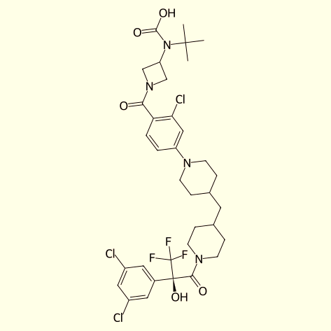 CC(C)(C)N(C(=O)O)C1CN(C(=O)c2ccc(N3CCC(CC4CCN(C(=O)[C@](O)(c5cc(Cl)cc(Cl)c5)C(F)(F)F)CC4)CC3)cc2Cl)C1